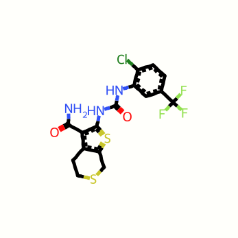 NC(=O)c1c(NC(=O)Nc2cc(C(F)(F)F)ccc2Cl)sc2c1CCSC2